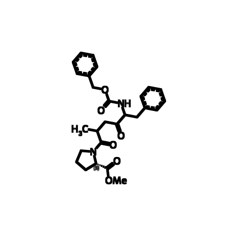 COC(=O)[C@@H]1CCCN1C(=O)C(C)CC(=O)C(Cc1ccccc1)NC(=O)OCc1ccccc1